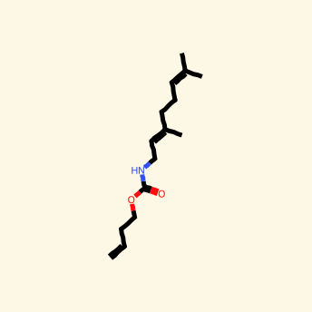 C=CCCOC(=O)NC/C=C(\C)CCC=C(C)C